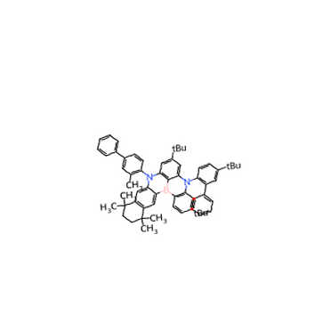 Cc1cc(-c2ccccc2)ccc1N1c2cc3c(cc2B2c4ccc(C(C)(C)C)cc4N(c4ccc(C(C)(C)C)cc4-c4ccccc4)c4cc(C(C)(C)C)cc1c42)C(C)(C)CCC3(C)C